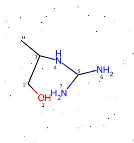 CC(CO)NC(N)N